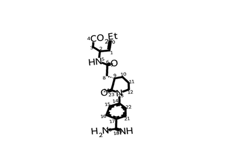 C=CC(CC(=O)OCC)NC(=O)C[C@@H]1CCCN(c2ccc(C(=N)N)cc2)C1=O